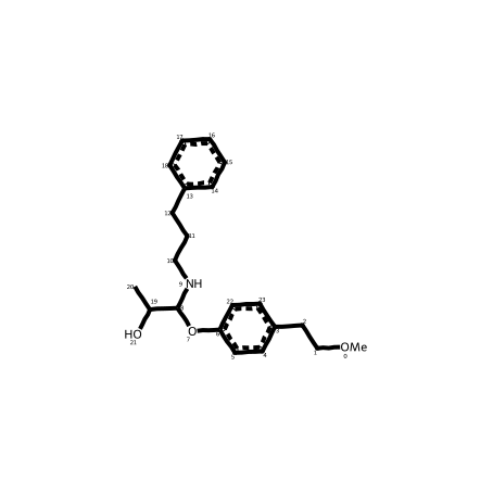 COCCc1ccc(OC(NCCCc2ccccc2)C(C)O)cc1